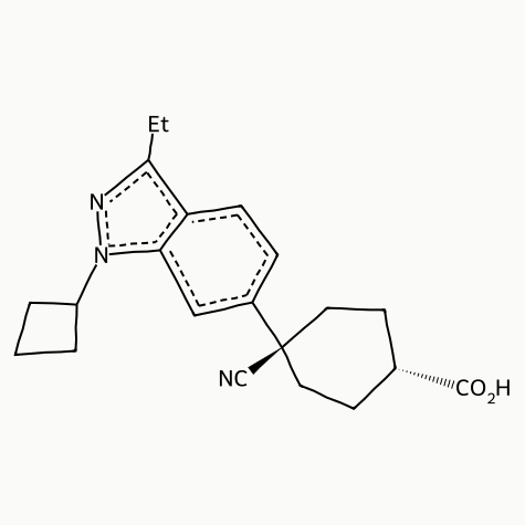 CCc1nn(C2CCC2)c2cc([C@]3(C#N)CC[C@H](C(=O)O)CC3)ccc12